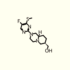 CSc1nc(N2CCN3C[C@H](CO)CC[C@H]3C2)ncc1F